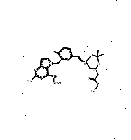 CCCCCNc1nc(N)nc2ccn(Cc3cc(C=C[C@@H]4C[C@H](CC(=O)OC(C)(C)C)OC(C)(C)O4)ccc3C)c12